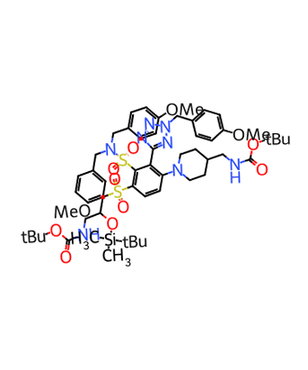 COc1ccc(CN(Cc2ccc(OC)cc2)S(=O)(=O)c2c(S(=O)(=O)CC(CNC(=O)OC(C)(C)C)O[Si](C)(C)C(C)(C)C)ccc(N3CCC(CNC(=O)OC(C)(C)C)CC3)c2-c2nnn(Cc3ccc(OC)cc3)n2)cc1